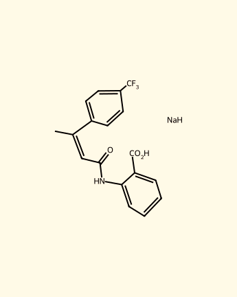 CC(=CC(=O)Nc1ccccc1C(=O)O)c1ccc(C(F)(F)F)cc1.[NaH]